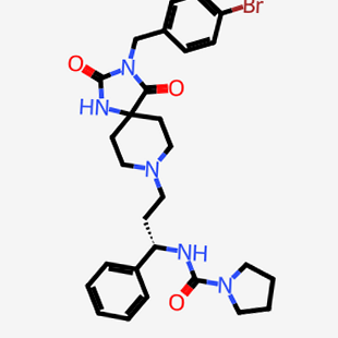 O=C(N[C@@H](CCN1CCC2(CC1)NC(=O)N(Cc1ccc(Br)cc1)C2=O)c1ccccc1)N1CCCC1